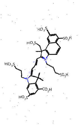 CC1(CS(=O)(=O)O)C(/C=C/C=C2/N(CCCS(=O)(=O)O)c3cc(S(=O)(=O)O)cc(C(=O)O)c3C2(C)C)=[N+](CCCS(=O)(=O)O)c2ccc3c(S(=O)(=O)O)cc(S(=O)(=O)O)cc3c21